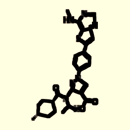 CNc1ncnc2cc(-c3ccc(-n4cc(C(=O)O)c(N(C(=O)[C@H]5CC[C@H](C)CC5)C(C)C)n4)cc3)sc12